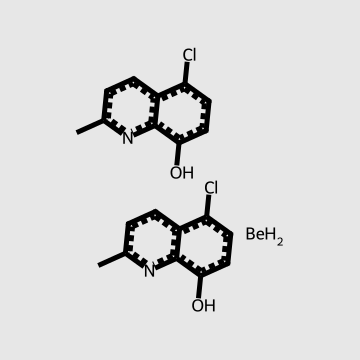 Cc1ccc2c(Cl)ccc(O)c2n1.Cc1ccc2c(Cl)ccc(O)c2n1.[BeH2]